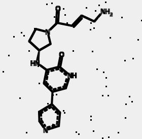 NC/C=C/C(=O)N1CC[C@H](Nc2cc(-c3ccncc3)c[nH]c2=O)C1